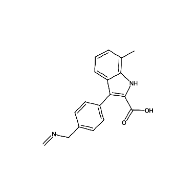 C=NCc1ccc(-c2c(C(=O)O)[nH]c3c(C)cccc23)cc1